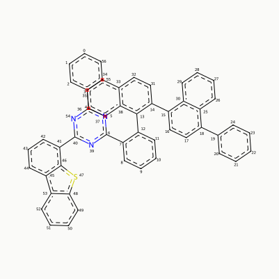 c1ccc(-c2nc(-c3ccccc3-c3c(-c4ccc(-c5ccccc5)c5ccccc45)ccc4ccccc34)nc(-c3cccc4c3sc3ccccc34)n2)cc1